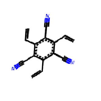 C=Cc1c(C#N)c(C=C)c(C#N)c(C=C)c1C#N